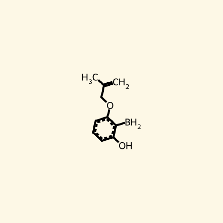 Bc1c(O)cccc1OCC(=C)C